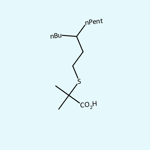 CCCCCC(CCCC)CCSC(C)(C)C(=O)O